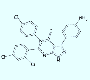 Nc1ccc(-c2n[nH]c3nc(-c4ccc(Cl)cc4Cl)n(-c4ccc(Cl)cc4)c(=O)c23)cc1